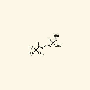 CC(C)COP(=O)(OC(C)(C)C)SCOC(=O)C(C)(C)N